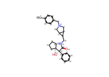 CC(C)(C)c1ccc(CN2CC3C(CNC(=O)[C@@](O)(c4ccccc4)C4CCCC4)C3C2)cc1